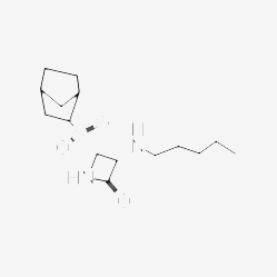 CCCCCN[C@@H]1C(=O)N[C@@H]1S(=O)(=O)C1CC2CCC1C2